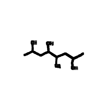 CC(O)CC(O)C(O)CC(C)O